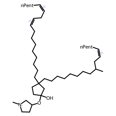 CCCCC/C=C\C/C=C\CCCCCCCCC1(CCCCCCCCC(C)C/C=C\CCCCC)CCC(O)(OC2CCN(C)C2)C1